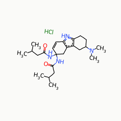 CC(C)CC(=O)NC1(NC(=O)CC(C)C)C=Cc2[nH]c3c(c2C1)CC(N(C)C)CC3.Cl